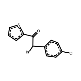 O=C(c1cccs1)C(Br)c1ccc(Cl)cc1